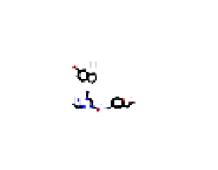 Cc1oc2ccc(CNC(=O)c3cc(C(=O)N[C@H]4CCc5c4ccc(C(=O)O)c5C)n4nccc4n3)cc2c1C